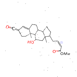 COC(=O)/C=C\CC1CCC2C3CCC4=CC(=C=O)CCC4(C)C3C(O)CC12C